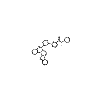 c1ccc(C2Nc3cc(-c4cccc(-c5nc6ccccc6c6c5ccc5c7ccccc7sc56)c4)ccc3S2)cc1